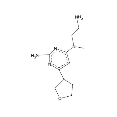 CN(CCN)c1cc(C2CCOC2)nc(N)n1